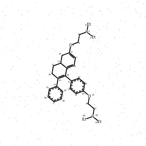 CCN(CC)CCOC1=CC=C2C(c3ccc(OCCN(CC)CC)cc3)=C(c3ccccc3)CCC2C1